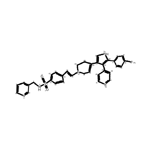 O=S(=O)(NCc1cccnc1)c1ccc(C=CN2CC=C(c3c[nH]c(-c4ccc(F)cc4)c3-c3ccncc3)CC2)cc1